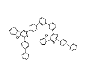 c1ccc(-c2ccc(-c3nc(-c4cccc(-c5cccc(-c6ccc(-c7nc(-c8ccc(-c9ccccc9)cc8)c8oc9ccccc9c8n7)cc6)c5)c4)c4oc5ccccc5c4n3)cc2)cc1